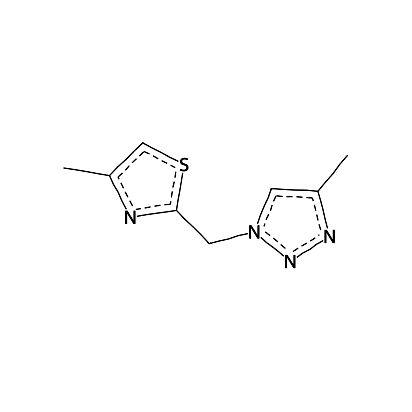 Cc1cn(Cc2nc(C)cs2)nn1